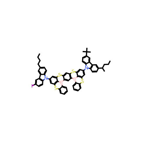 CCCCc1ccc2c(c1)c1cc(I)ccc1n2-c1cc2c3c(c1)Sc1cc4c(cc1B3c1ccccc1S2)B1c2ccccc2Sc2cc(-n3c5ccc(C(C)CCC)cc5c5cc(C(C)(C)C)ccc53)cc(c21)S4